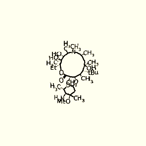 CC[C@H]1OC(=O)[C@H](C)[C@@H](O[C@H]2C[C@@](C)(OC)[C@@H](N)[C@H](C)O2)[C@H](C)[C@@H](C(C)(C)C)[C@](C)(O)C[C@@H](C)CN(C)[C@H](C)[C@@H](O)[C@]1(C)O